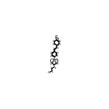 CCCC[C@H]1CO[C@H](c2ccc(CCC3CC=C(F)CC3)cc2)OC1